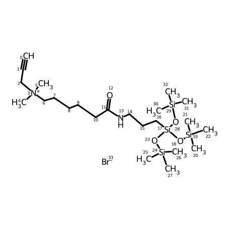 C#CC[N+](C)(C)CCCCCC(=O)NCCC[Si](O[Si](C)(C)C)(O[Si](C)(C)C)O[Si](C)(C)C.[Br-]